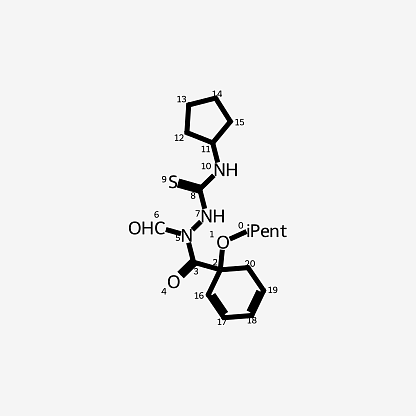 CCCC(C)OC1(C(=O)N(C=O)NC(=S)NC2CCCC2)C=CC=CC1